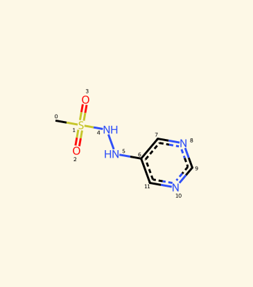 CS(=O)(=O)NNc1cncnc1